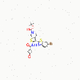 CC(C)(C)OC(=O)N1CCc2c(sc(NC(=O)C3CC(=O)C3)c2-c2nc3ccc(Br)cc3s2)C1